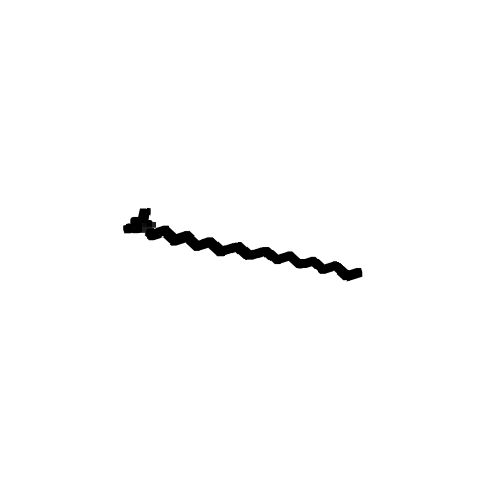 CCCCCCCCCCCCCCCCC[CH2][Sn]([CH3])[CH3]